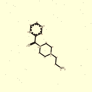 NCCN1CCN(C(=O)c2cnccn2)CC1